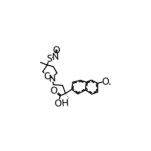 COc1ccc2cc([C@](C)(CCN3CCC(C)(SN=O)CC3)C(=O)O)ccc2c1